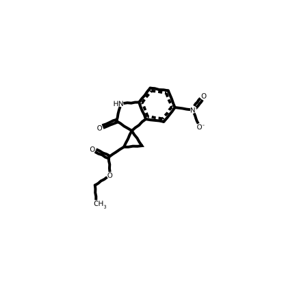 CCOC(=O)C1CC12C(=O)Nc1ccc([N+](=O)[O-])cc12